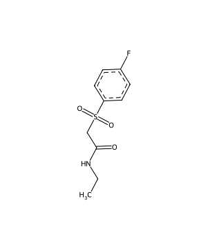 CCNC(=O)CS(=O)(=O)c1ccc(F)cc1